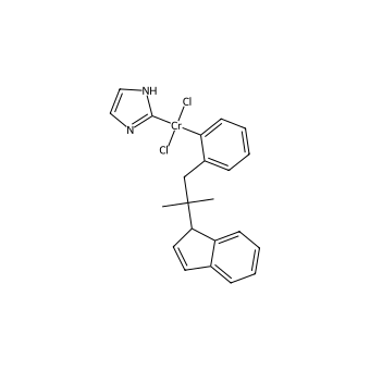 CC(C)(Cc1cccc[c]1[Cr]([Cl])([Cl])[c]1ncc[nH]1)C1C=Cc2ccccc21